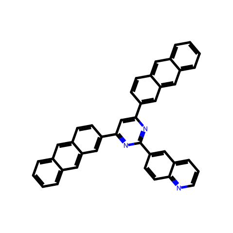 c1ccc2cc3cc(-c4cc(-c5ccc6cc7ccccc7cc6c5)nc(-c5ccc6ncccc6c5)n4)ccc3cc2c1